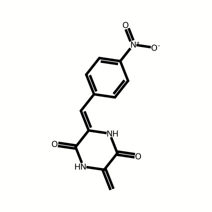 C=c1[nH]c(=O)c(=Cc2ccc([N+](=O)[O-])cc2)[nH]c1=O